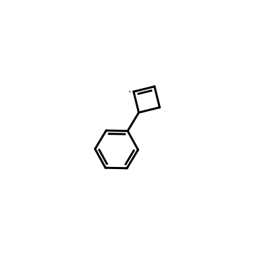 [C]1=CCC1c1ccccc1